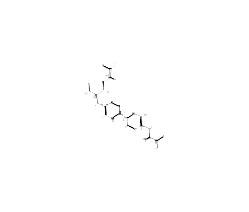 C=C(C)C(=O)Cc1ccc(-c2ccc(CC(CC)CCC(=S)C(=C)C)cc2)cc1